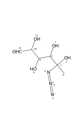 CC(O)(N=[N+]=[N-])C(O)C(O)C(O)C=O